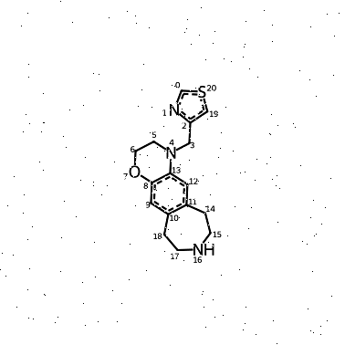 c1nc(CN2CCOc3cc4c(cc32)CCNCC4)cs1